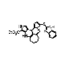 CCOC(=O)c1[nH]cc2c1NC1=C(C(=O)CCCC1)C2c1ccc(Sc2nc3ccccc3[nH]2)o1